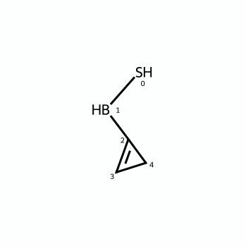 SBC1=CC1